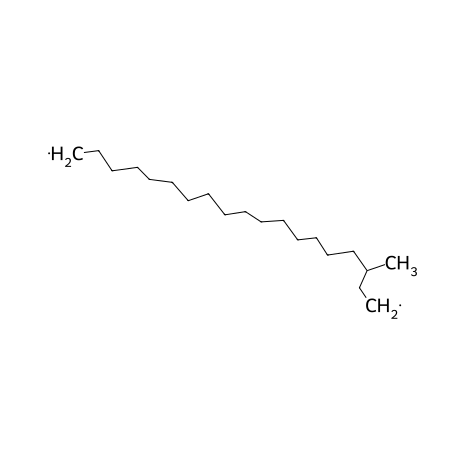 [CH2]CCCCCCCCCCCCCCCC(C)C[CH2]